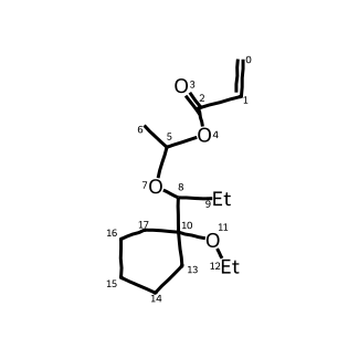 C=CC(=O)OC(C)OC(CC)C1(OCC)CCCCC1